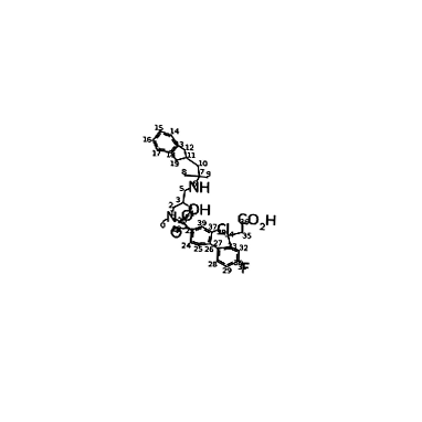 CN(CC(O)CNC(C)(C)CC1Cc2ccccc2C1)S(=O)(=O)c1ccc(-c2ccc(F)cc2CCC(=O)O)c(Cl)c1